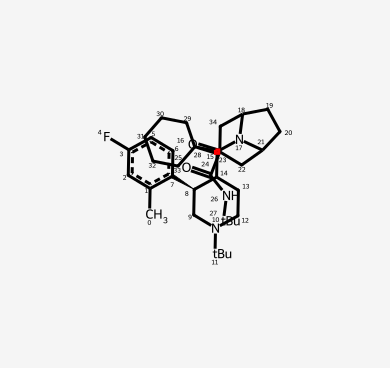 Cc1cc(F)ccc1[C@@H]1CN(C(C)(C)C)CCC1C(=O)N1C2CCC1CC(C(=O)NC(C)(C)C)(C1CCCCC1)C2